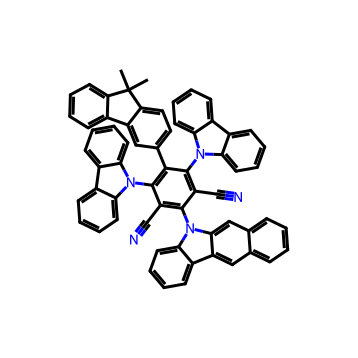 CC1(C)c2ccccc2-c2cc(-c3c(-n4c5ccccc5c5ccccc54)c(C#N)c(-n4c5ccccc5c5cc6ccccc6cc54)c(C#N)c3-n3c4ccccc4c4ccccc43)ccc21